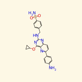 Nc1ccc(-c2ccc3nc(NCc4ccc(S(N)(=O)=O)cc4)nc(OC4CC4)c3n2)cc1